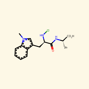 CC(C)[C@H](NC(=O)[C@@H](Cc1cn(C)c2ccccc12)NCl)C(=O)O